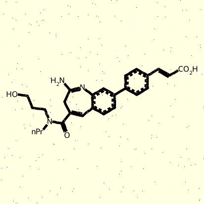 CCCN(CCCO)C(=O)C1=Cc2ccc(-c3ccc(C=CC(=O)O)cc3)cc2N=C(N)C1